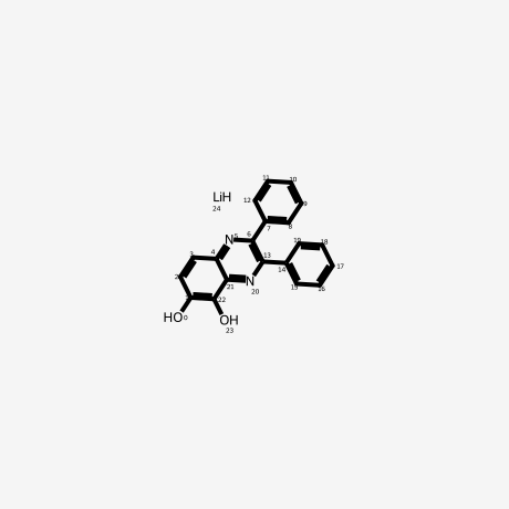 Oc1ccc2nc(-c3ccccc3)c(-c3ccccc3)nc2c1O.[LiH]